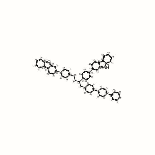 c1ccc(-c2ccc(-c3ccc(CC(CCc4ccc(-c5ccc6c(c5)oc5ccccc56)cc4)c4ccc(-c5ccc6c(c5)[nH]c5ccccc56)cc4)cc3)cc2)cc1